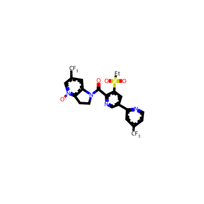 CCS(=O)(=O)c1cc(-c2cc(C(F)(F)F)ccn2)cnc1C(=O)N1CCc2c1cc(C(F)(F)F)c[n+]2[O-]